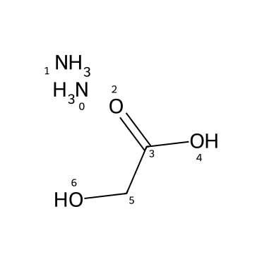 N.N.O=C(O)CO